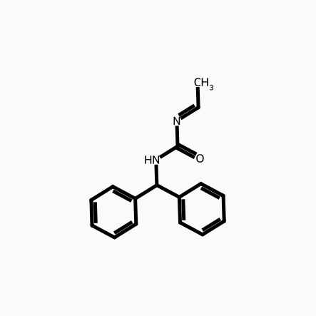 CC=NC(=O)NC(c1ccccc1)c1ccccc1